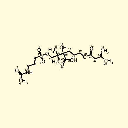 CC(=O)NCCCS(=O)(=O)OCC(C)(C)[C@](O)(CCCOC(=O)CC(C)C)C(=O)O